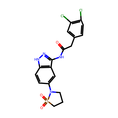 O=C(Cc1ccc(Cl)c(Cl)c1)Nc1n[nH]c2ccc(N3CCCS3(=O)=O)cc12